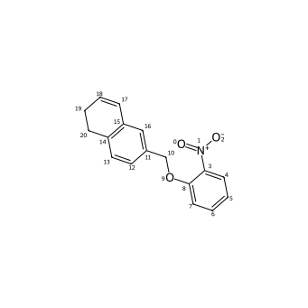 O=[N+]([O-])c1ccccc1OCc1ccc2c(c1)C=CCC2